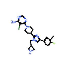 CNc1ncnc(N2CCC(c3nc(-c4ccc(F)c(C)c4)cn3CC3CNC3)CC2)c1Cl